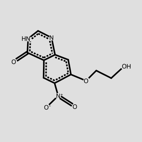 O=c1[nH]cnc2cc(OCCO)c([N+](=O)[O-])cc12